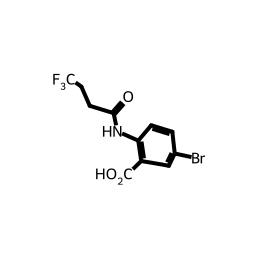 O=C(CCC(F)(F)F)Nc1ccc(Br)cc1C(=O)O